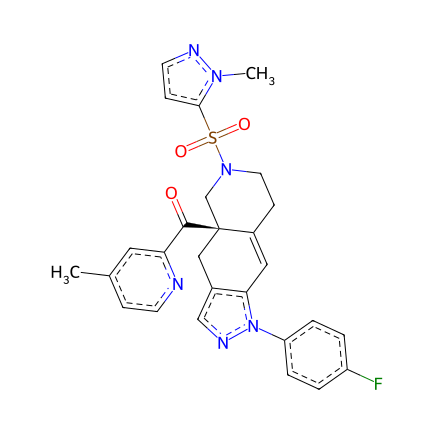 Cc1ccnc(C(=O)[C@]23Cc4cnn(-c5ccc(F)cc5)c4C=C2CCN(S(=O)(=O)c2ccnn2C)C3)c1